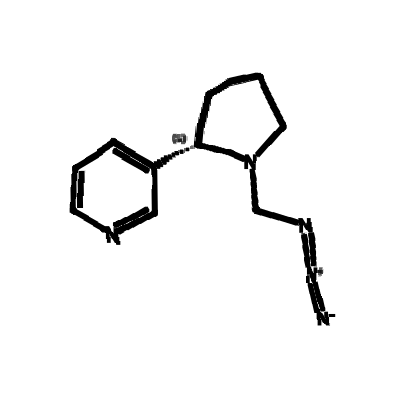 [N-]=[N+]=NCN1CCC[C@H]1c1cccnc1